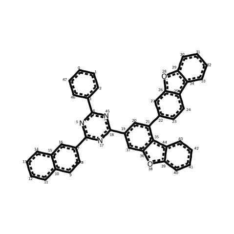 c1ccc(-c2nc(-c3ccc4ccccc4c3)nc(-c3cc(-c4ccc5c(c4)oc4ccccc45)c4c(c3)oc3ccccc34)n2)cc1